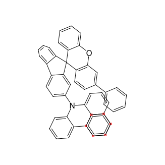 c1ccc(-c2ccc3c(c2)Oc2ccccc2C32c3ccccc3-c3ccc(N(c4ccccc4-c4ccccc4)c4cccc5ccccc45)cc32)cc1